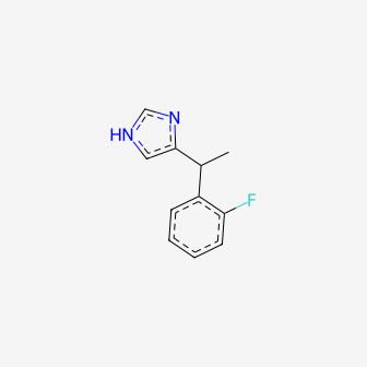 CC(c1c[nH]cn1)c1ccccc1F